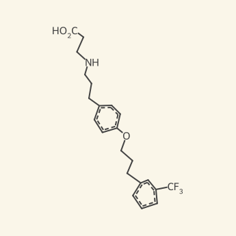 O=C(O)CCNCCCc1ccc(OCCCc2cccc(C(F)(F)F)c2)cc1